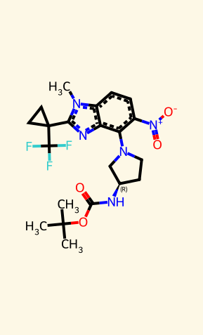 Cn1c(C2(C(F)(F)F)CC2)nc2c(N3CC[C@@H](NC(=O)OC(C)(C)C)C3)c([N+](=O)[O-])ccc21